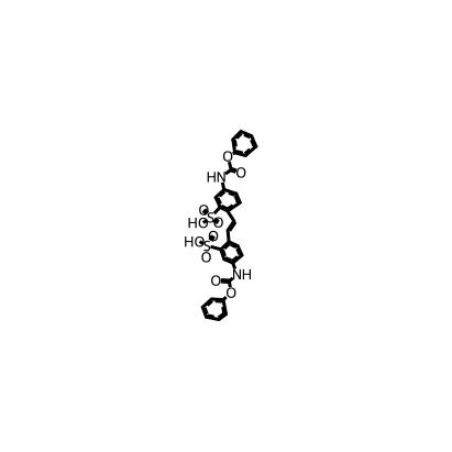 O=C(Nc1ccc(/C=C/c2ccc(NC(=O)Oc3ccccc3)cc2S(=O)(=O)O)c(S(=O)(=O)O)c1)Oc1ccccc1